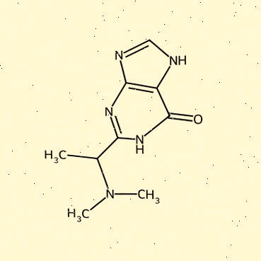 CC(c1nc2nc[nH]c2c(=O)[nH]1)N(C)C